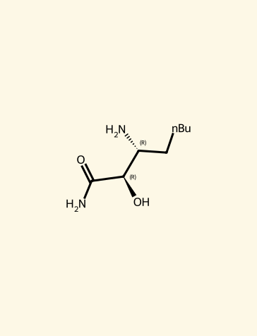 CCCCC[C@@H](N)[C@@H](O)C(N)=O